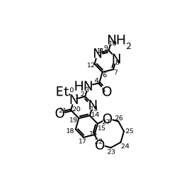 CCn1c(NC(=O)c2cnc(N)nc2)nc2c3c(ccc2c1=O)OCCCCO3